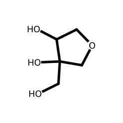 OCC1(O)COCC1O